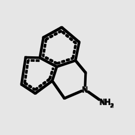 NN1Cc2cccc3cccc(c23)C1